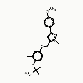 Cc1cc(OCc2cc(-c3ccc(OC(F)(F)F)cc3)nn2C)ccc1OC(C)(C)C(=O)O